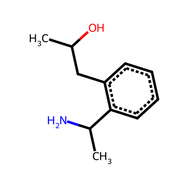 CC(O)Cc1ccccc1C(C)N